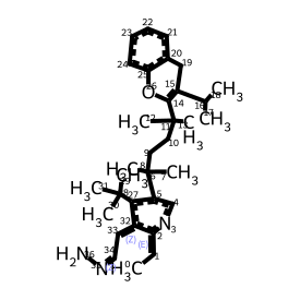 C/C=c1/ncc(C(C)(C)CCC(C)(C)C2=C(C(C)C)Cc3ccccc3O2)c(C(C)(C)C)/c1=C/C=N\N